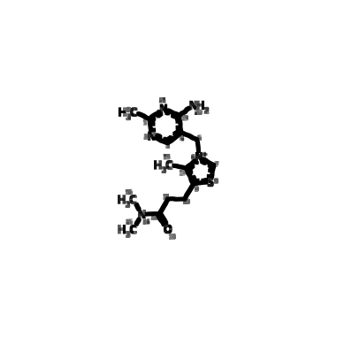 Cc1ncc(C[n+]2csc(CCC(=O)N(C)C)c2C)c(N)n1